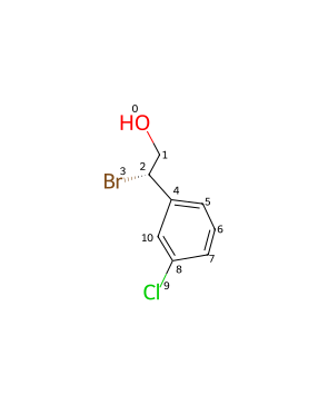 OC[C@@H](Br)c1cccc(Cl)c1